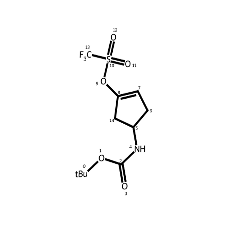 CC(C)(C)OC(=O)NC1CC=C(OS(=O)(=O)C(F)(F)F)C1